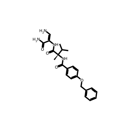 CC(C)[C@](C)(NC(=O)c1ccc(OCc2ccccc2)cc1)C(=O)NC(=CN)C(N)=O